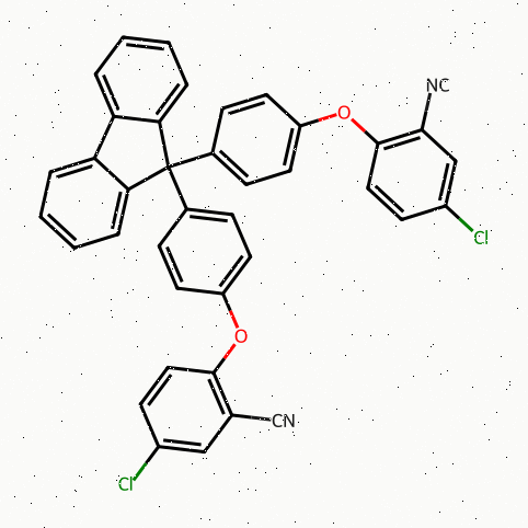 [C-]#[N+]c1cc(Cl)ccc1Oc1ccc(C2(c3ccc(Oc4ccc(Cl)cc4C#N)cc3)c3ccccc3-c3ccccc32)cc1